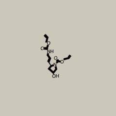 C=CCOC(=O)NCC=C[C@@H]1C[C@@H](O)CN1C(=O)OCC=C